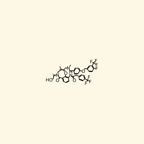 C[C@@H]1CN([C@@H](C)CO)C(=O)c2cccc(NC(=O)Cc3ccc(C(F)(F)F)cc3)c2O[C@@H]1CN(C)Cc1ccc(OCc2ccc(F)c(C(F)(F)F)c2)cc1